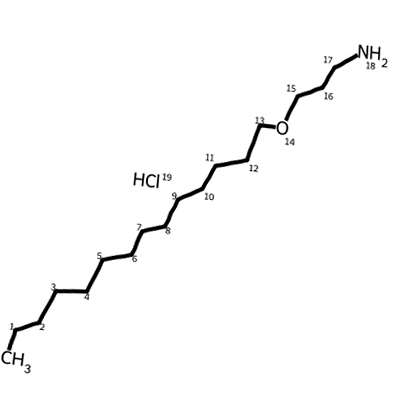 CCCCCCCCCCCCCCOCCCN.Cl